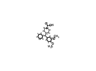 COc1ccc(C(c2cccnc2)C2CCN(C(=O)O)CC2)cc1OC